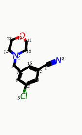 N#Cc1cc(Cl)cc(CN2CCOCC2)c1